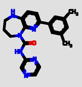 Cc1cc(C)cc(-c2ccc3c(n2)N(C(=O)Nc2cnccn2)CCCN3)c1